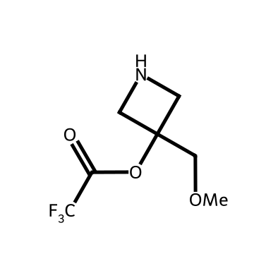 COCC1(OC(=O)C(F)(F)F)CNC1